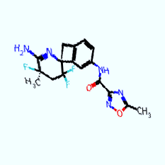 Cc1nc(C(=O)Nc2ccc3c(c2)[C@@]2(C3)N=C(N)[C@](C)(F)CC2(F)F)no1